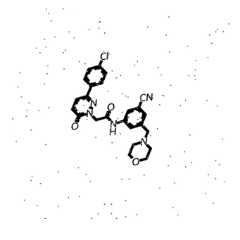 N#Cc1cc(CN2CCOCC2)cc(NC(=O)Cn2nc(-c3ccc(Cl)cc3)ccc2=O)c1